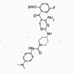 COc1ccc(F)cc1C(=O)c1cnc(NC2CCN(C(=O)Nc3ccc(N(C)C)cc3)CC2)nc1N